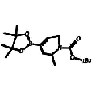 CC1CC(B2OC(C)(C)C(C)(C)O2)=CCN1C(=O)OC(C)(C)C